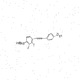 CCCCc1ccc(C#Cc2ccc(OCC)cc2)c(F)c1F